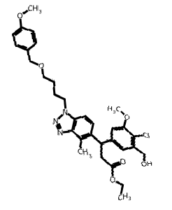 CCOC(=O)CC(c1cc(CO)c(Cl)c(OC)c1)c1ccc2c(nnn2CCCCOCc2ccc(OC)cc2)c1C